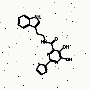 O=C(NCCc1c[nH]c2ccccc12)c1nc(-c2cccs2)nc(O)c1O